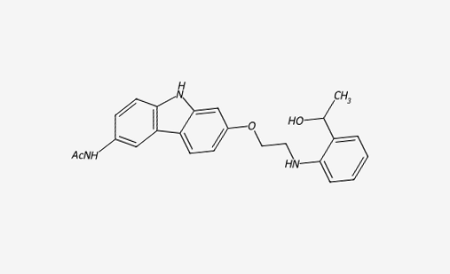 CC(=O)Nc1ccc2[nH]c3cc(OCCNc4ccccc4C(C)O)ccc3c2c1